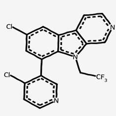 FC(F)(F)Cn1c2cnccc2c2cc(Cl)cc(-c3cnccc3Cl)c21